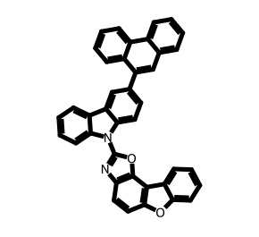 c1ccc2c(c1)cc(-c1ccc3c(c1)c1ccccc1n3-c1nc3ccc4oc5ccccc5c4c3o1)c1ccccc12